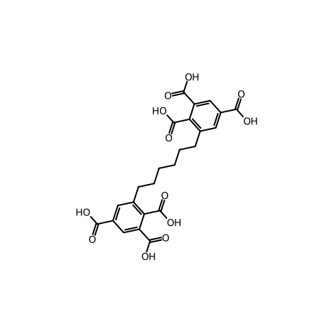 O=C(O)c1cc(CCCCCCc2cc(C(=O)O)cc(C(=O)O)c2C(=O)O)c(C(=O)O)c(C(=O)O)c1